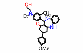 CCN(CCO)c1ccc(C2C3=C(CC(c4ccc(OC)cc4)CC3=O)Nc3ccccc3N2C(C)=O)c(C)c1